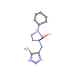 Cc1[nH]cnc1CN1CCN(c2ccccc2)C1=O